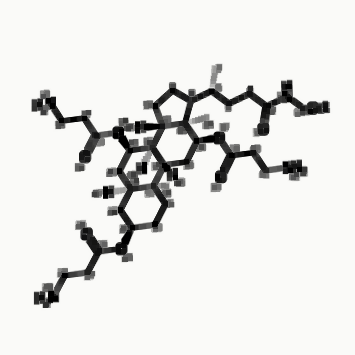 CCCCCCCCNC(=O)CC[C@@H](C)C1CC[C@H]2[C@@H]3[C@H](OC(=O)CCN)C[C@@H]4C[C@H](OC(=O)CCN)CC[C@]4(C)[C@H]3C[C@H](OC(=O)CCN)[C@]12C